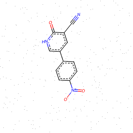 N#Cc1cc(-c2ccc([N+](=O)[O-])cc2)c[nH]c1=O